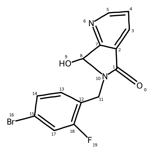 O=C1c2cccnc2C(O)N1Cc1ccc(Br)cc1F